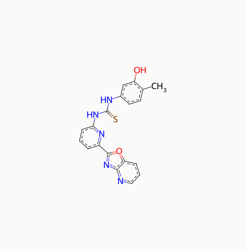 Cc1ccc(NC(=S)Nc2cccc(-c3nc4ncccc4o3)n2)cc1O